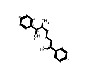 CC(CCCC(O)c1ccccc1)C(O)c1ccccc1